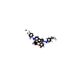 O=[N+]([O-])c1ccc(Nc2ccc3c(c2)C2(c4ccccc4Oc4ccccc42)c2cc(Nc4ccc([N+](=O)[O-])cc4)ccc2-3)cc1